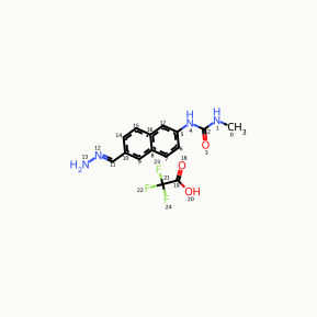 CNC(=O)Nc1ccc2cc(C=NN)ccc2c1.O=C(O)C(F)(F)F